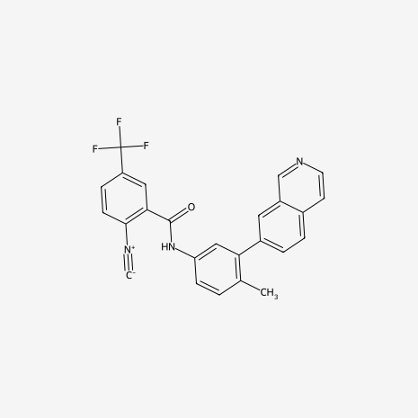 [C-]#[N+]c1ccc(C(F)(F)F)cc1C(=O)Nc1ccc(C)c(-c2ccc3ccncc3c2)c1